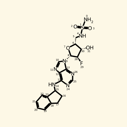 NS(=O)(=O)NC[C@H]1O[C@@H](n2cnc3c(NC4CCc5ccccc54)ncnc32)[C@H](F)[C@H]1O